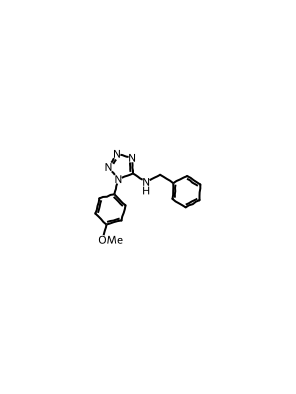 COc1ccc(-n2nnnc2NCc2ccccc2)cc1